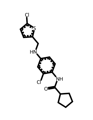 O=C(Nc1ccc(NCc2ccc(Cl)s2)cc1Cl)C1CCCC1